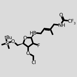 C/C(=C\CB[C@@H]1O[C@H](CO[Si](C)(C)C(C)(C)C)C(OCCl)C1F)CNC(=O)C(F)(F)F